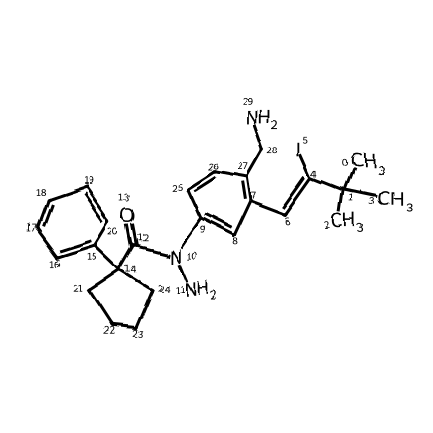 CC(C)(C)/C(I)=C/c1cc(N(N)C(=O)C2(c3ccccc3)CCCC2)ccc1CN